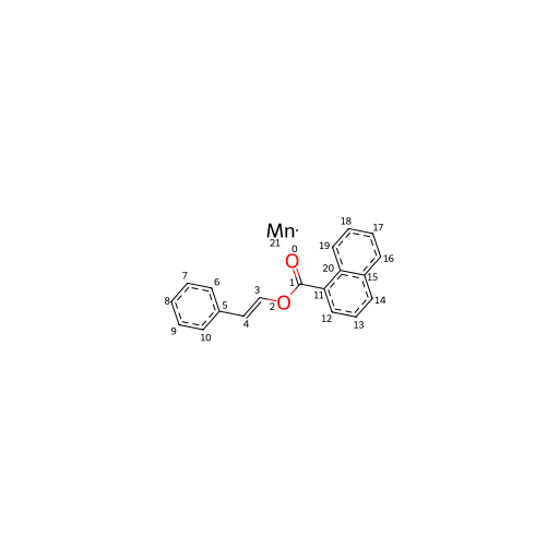 O=C(OC=Cc1ccccc1)c1cccc2ccccc12.[Mn]